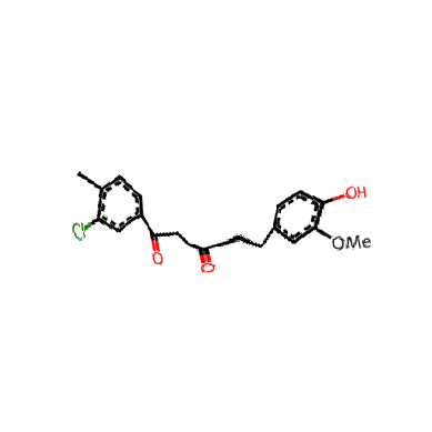 COc1cc(CCC(=O)CC(=O)c2ccc(C)c(Cl)c2)ccc1O